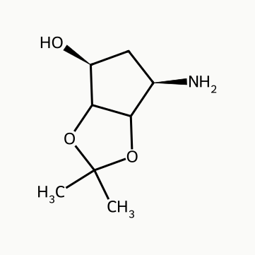 CC1(C)OC2C(O1)[C@@H](O)C[C@H]2N